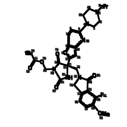 CCCN1CCN(c2ccc3oc([C@]4(CN5Cc6ccc(OC)c(F)c6C5=O)NC(=O)N(COC(=O)C(C)(C)C)C4=O)cc3n2)CC1